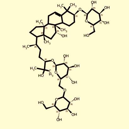 C[C@H](CC[C@@H](O[C@@H]1O[C@H](COC2O[C@H](CO)[C@@H](O)[C@H](O)[C@H]2O)[C@@H](O)[C@H](O)[C@H]1O)C(C)(C)O)C1CC[C@@]2(C)C3CC=C4C(CC[C@H](O[C@@H]5O[C@H](CO)[C@@H](O)[C@H](O)[C@H]5O)C4(C)C)[C@]3(C)[C@H](O)C[C@]12C